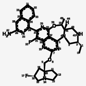 CC[C@@H]1CN2c3nc(OC[C@@]45CCCN4C[C@H](F)C5)nc4c(F)c(-c5nc(N)cc6ccccc56)nc(c34)O[C@@H](C)[C@@H]2CN1